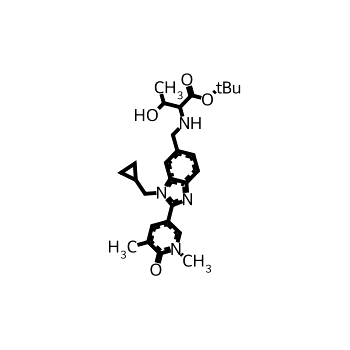 Cc1cc(-c2nc3ccc(CNC(C(=O)OC(C)(C)C)C(C)O)cc3n2CC2CC2)cn(C)c1=O